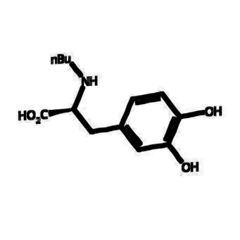 CCCCN[C@@H](Cc1ccc(O)c(O)c1)C(=O)O